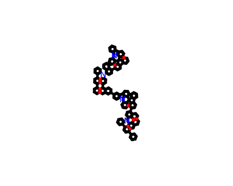 c1ccc(-c2ccc(-c3ccccc3N(c3ccc(-c4cccc5cc(-c6ccc7c(c6)c6cccc8c6n7-c6ccccc6C86c7ccccc7-c7ccc(-c8ccc(N(c9ccccc9-c9ccc(-c%10ccccc%10)cc9)c9cccc%10ccccc9%10)c9ccccc89)cc76)ccc45)cc3)c3ccc(-c4ccc5c(c4)C4(c6ccccc6-5)c5ccccc5-n5c6ccccc6c6cccc4c65)c4ccccc34)cc2)cc1